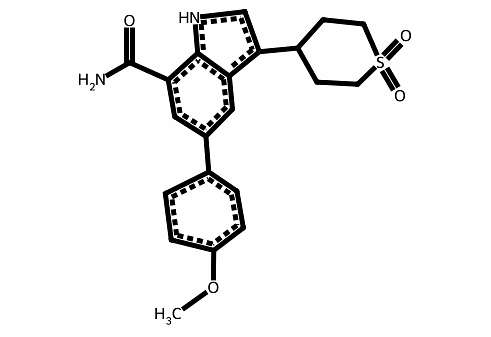 COc1ccc(-c2cc(C(N)=O)c3[nH]cc(C4CCS(=O)(=O)CC4)c3c2)cc1